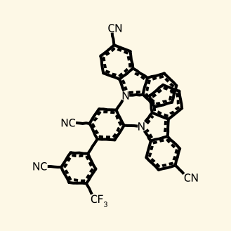 N#Cc1cc(-c2cc(-n3c4ccccc4c4cc(C#N)ccc43)c(-n3c4ccccc4c4cc(C#N)ccc43)cc2C#N)cc(C(F)(F)F)c1